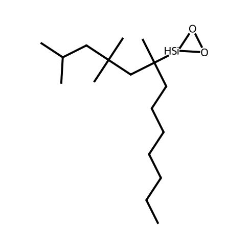 CCCCCCCC(C)(CC(C)(C)CC(C)C)[SiH]1OO1